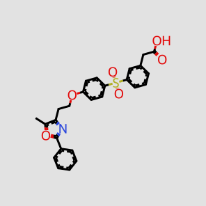 Cc1oc(-c2ccccc2)nc1CCOc1ccc(S(=O)(=O)c2cccc(CC(=O)O)c2)cc1